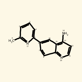 Cc1cccc(-c2ccc3nccc(N)c3c2)n1